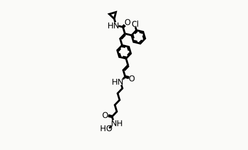 O=C(/C=C/c1ccc(/C=C(/C(=O)NC2CC2)c2ccccc2Cl)cc1)NCCCCCC(=O)NO